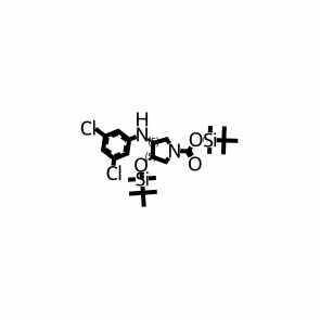 CC(C)(C)[Si](C)(C)OC(=O)N1C[C@H](Nc2cc(Cl)cc(Cl)c2)[C@@H](O[Si](C)(C)C(C)(C)C)C1